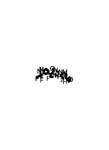 [2H]C1(N2CC[C@@H](Nc3nc(OC)c4c(-c5ccc6nnn(C(CF)CF)c6c5)c(F)cn4n3)[C@H](F)C2)COC1